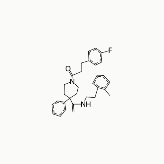 C=C(NCCc1ccccc1C)C1(c2ccccc2)CCN(C(=O)CCc2ccc(F)cc2)CC1